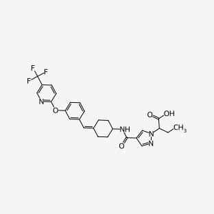 CCC(C(=O)O)n1cc(C(=O)NC2CCC(=Cc3cccc(Oc4ccc(C(F)(F)F)cn4)c3)CC2)cn1